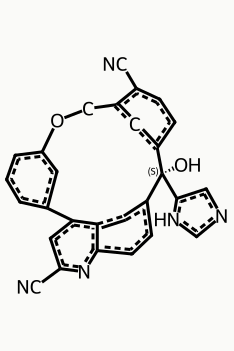 N#Cc1cc2c3cc(ccc3n1)[C@](O)(c1cnc[nH]1)c1ccc(C#N)c(c1)COc1cccc-2c1